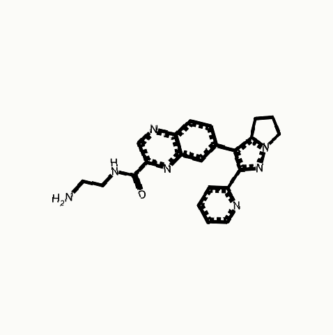 NCCNC(=O)c1cnc2ccc(-c3c(-c4ccccn4)nn4c3CCC4)cc2n1